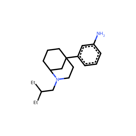 CCC(CC)CN1CCC2(c3cccc(N)c3)CCCC1C2